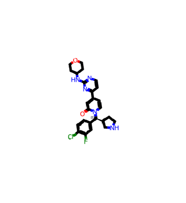 O=c1cc(-c2ccnc(NC3CCOCC3)n2)ccn1[C@H](c1ccc(Cl)c(F)c1)C1CCNC1